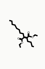 CCCCCCCCC(C(=O)OCC)=C(CCCC)C(=O)OCC